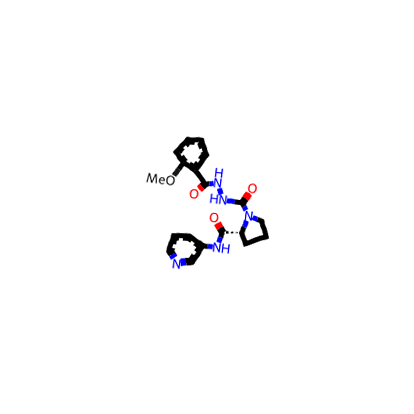 COc1ccccc1C(=O)NNC(=O)N1CCC[C@@H]1C(=O)Nc1cccnc1